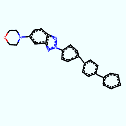 c1ccc(-c2ccc(-c3ccc(-n4nc5ccc(N6CCOCC6)cc5n4)cc3)cc2)cc1